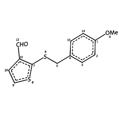 COc1ccc(CSc2sccc2C=O)cc1